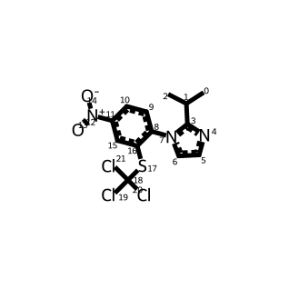 CC(C)c1nccn1-c1ccc([N+](=O)[O-])cc1SC(Cl)(Cl)Cl